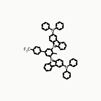 Cc1c(-n2c3ccccc3c3cc(N(c4ccccc4)c4ccccc4)ccc32)cc(-c2ccc(C(F)(F)F)cc2)cc1-n1c2ccccc2c2cc(N(c3ccccc3)c3ccccc3)ccc21